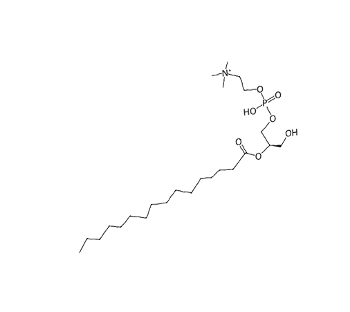 CCCCCCCCCCCCCCCC(=O)O[C@H](CO)COP(=O)(O)OCC[N+](C)(C)C